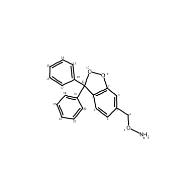 NOCc1ccc2c(c1)OOC2(c1ccccc1)c1ccccc1